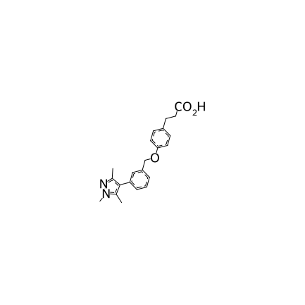 Cc1nn(C)c(C)c1-c1cccc(COc2ccc(CCC(=O)O)cc2)c1